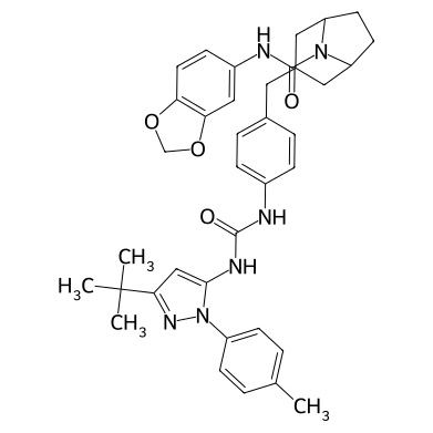 Cc1ccc(-n2nc(C(C)(C)C)cc2NC(=O)Nc2ccc(CC3CC4CCC(C3)N4C(=O)Nc3ccc4c(c3)OCO4)cc2)cc1